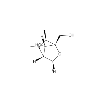 [3H][C@@H]1O[C@@]2(CO)[C@H](C)N(C)[C@@H]1[C@@H]2O